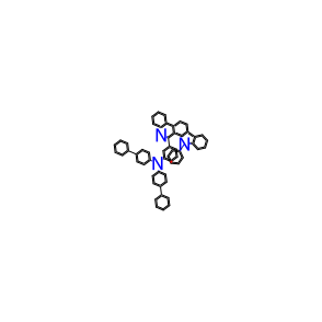 c1ccc(-c2ccc(N(c3ccc(-c4ccccc4)cc3)c3cccc(-c4nc5ccccc5c5ccc6c7ccccc7n(-c7ccccc7)c6c45)c3)cc2)cc1